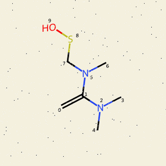 C=C(N(C)C)N(C)CSO